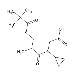 CC(CSC(=O)C(C)(C)C)C(=O)N(CC(=O)O)C1CC1